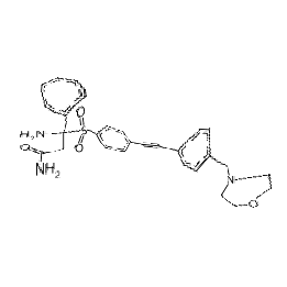 NC(=O)CC(N)(c1ccccc1)S(=O)(=O)c1ccc(C#Cc2ccc(CN3CCOCC3)cc2)cc1